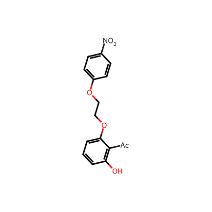 CC(=O)c1c(O)cccc1OCCOc1ccc([N+](=O)[O-])cc1